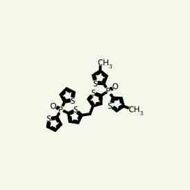 Cc1csc(P(=O)(c2cc(C)cs2)c2cc(Cc3ccc(P(=O)(c4cccs4)c4cccs4)s3)cs2)c1